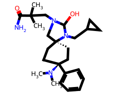 CN(C)[C@]1(c2ccccc2)CC[C@]2(CC1)CN(CC(C)(C)C(N)=O)C(O)N2CC1CC1